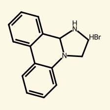 Br.c1ccc2c(c1)-c1ccccc1N1CCNC21